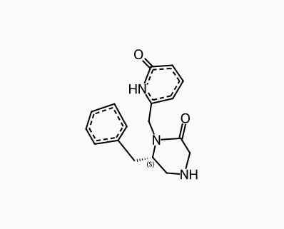 O=C1CNC[C@H](Cc2ccccc2)N1Cc1cccc(=O)[nH]1